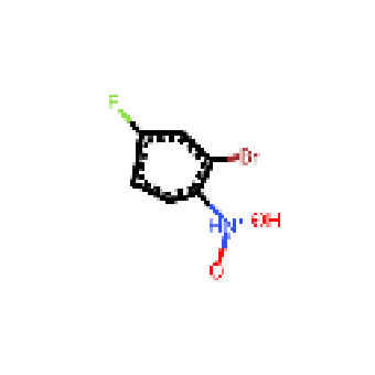 [O-][NH+](O)c1ccc(F)cc1Br